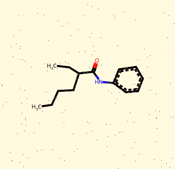 CCCCC(CC)C(=O)Nc1ccccc1